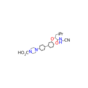 CC(C)CC(Oc1cccc(-c2ccc(N3CCN(C(=O)O)CC3)cc2)c1)C(=O)NCC#N